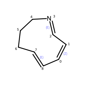 C1=C\C=N\CCC/C=C/1